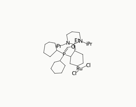 CCOC=P(C1CCCCC1)(C1CCCCC1)C1CCCCC1=C1N(C(C)C)CCCN1C(C)C.[Cl][Ru][Cl]